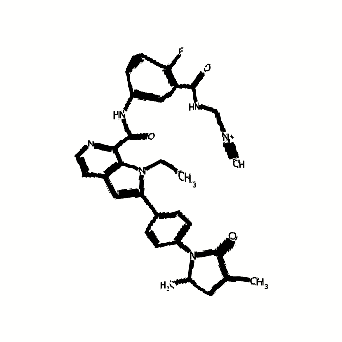 C#[N+]CNC(=O)c1cc(NC(=O)c2nccc3cc(-c4ccc(N5C(=O)C(C)CC5C)cc4)n(CC)c23)ccc1F